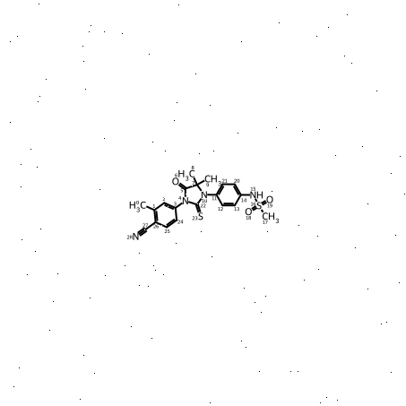 Cc1cc(N2C(=O)C(C)(C)N(c3ccc(NS(C)(=O)=O)cc3)C2=S)ccc1C#N